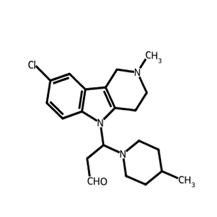 CC1CCN(C(CC=O)n2c3c(c4cc(Cl)ccc42)CN(C)CC3)CC1